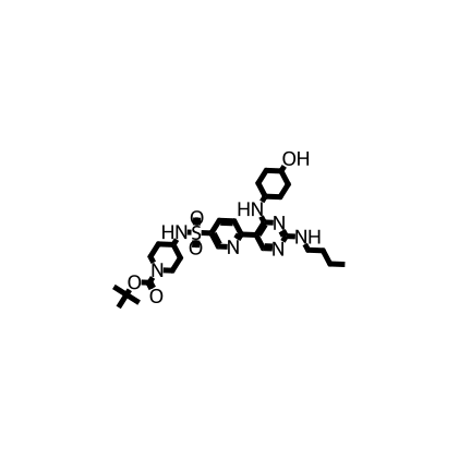 CCCCNc1ncc(-c2ccc(S(=O)(=O)NC3CCN(C(=O)OC(C)(C)C)CC3)cn2)c(NC2CCC(O)CC2)n1